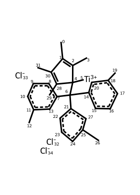 CC1=C(C)[C]([Ti+3])(C(c2cccc(C)c2)(c2cccc(C)c2)c2cccc(C)c2)C(C)=C1C.[Cl-].[Cl-].[Cl-]